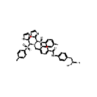 CCCN(CCC)Cc1ccc(NC(=O)c2ccc(CN(C(c3ncc[nH]3)S(=O)(=O)c3ccc(C)cc3)C(c3ncc[nH]3)S(=O)(=O)c3ccc(C)cc3)cc2)cc1